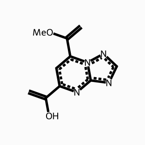 C=C(O)c1cc(C(=C)OC)n2ncnc2n1